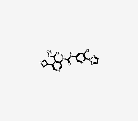 COC(C)c1c(NC(=O)Nc2cnc(-n3nccn3)c(Cl)c2)cncc1C1COC1